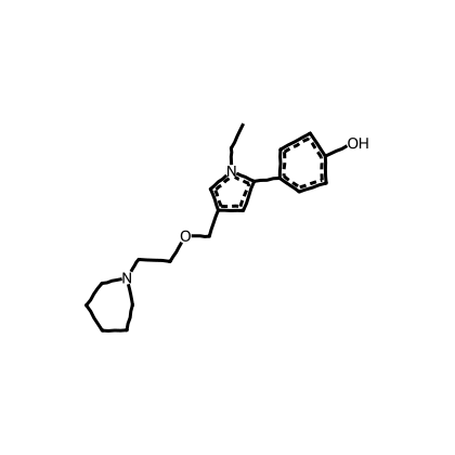 CCn1cc(COCCN2CCCCC2)cc1-c1ccc(O)cc1